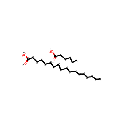 CCCCCC(=O)O.CCCCCCCCCCCCCCCCCC(=O)O